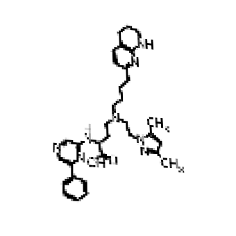 Cc1cc(C)n(CCN(CCCCc2ccc3c(n2)NCCC3)CCC(Nc2cncc(-c3ccccc3)n2)C(=O)O)n1